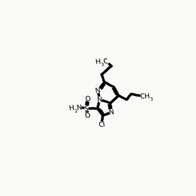 CCCc1cc(CCC)c2nc(Cl)c(S(N)(=O)=O)n2n1